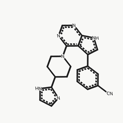 N#Cc1cccc(-c2c[nH]c3ncnc(N4CCC(c5ncc[nH]5)CC4)c23)c1